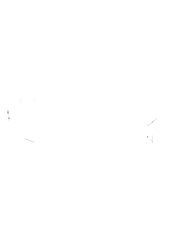 C=C(CCCCCCCCC/C=C\C/C=C\CCCCC)N(C)CC